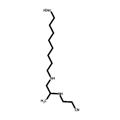 CCCCCCCCCCCCCCCCCCNCC(C)NCCC#N